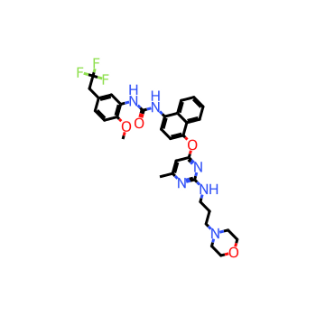 COc1ccc(CC(F)(F)F)cc1NC(=O)Nc1ccc(Oc2cc(C)nc(NCCCN3CCOCC3)n2)c2ccccc12